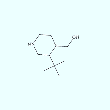 CC(C)(C)C1CNCCC1CO